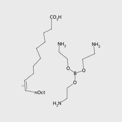 CCCCCCCC/C=C\CCCCCCCC(=O)O.NCCOB(OCCN)OCCN